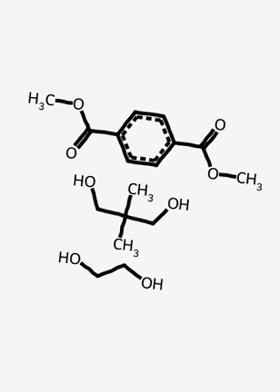 CC(C)(CO)CO.COC(=O)c1ccc(C(=O)OC)cc1.OCCO